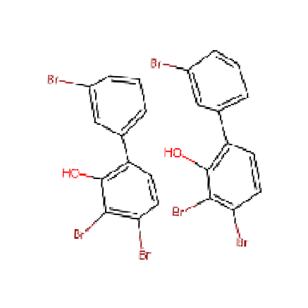 Oc1c(-c2cccc(Br)c2)ccc(Br)c1Br.Oc1c(-c2cccc(Br)c2)ccc(Br)c1Br